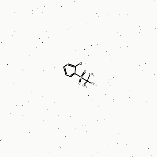 CC(C)(C)S(=O)(=O)c1ccccc1Cl